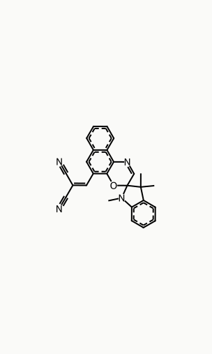 CN1c2ccccc2C(C)(C)C12C=Nc1c(c(C=C(C#N)C#N)cc3ccccc13)O2